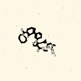 CCOC(=O)c1cnn(-c2cccc(-c3cccc(C(=O)N4CCCCCC4)c3F)c2)c1C1C[C@@H]1/C(N)=C/N(C)N